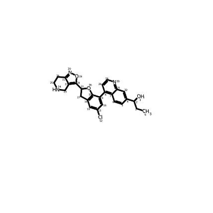 CCC(O)c1ccc2c(-c3cc(Cl)cc4c3OC(c3onc5c3CNCC5)C4)ccnc2c1